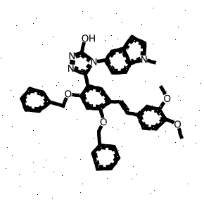 COc1ccc(/C=C/c2cc(-c3nnc(O)n3-c3ccc4c(ccn4C)c3)c(OCc3ccccc3)cc2OCc2ccccc2)cc1OC